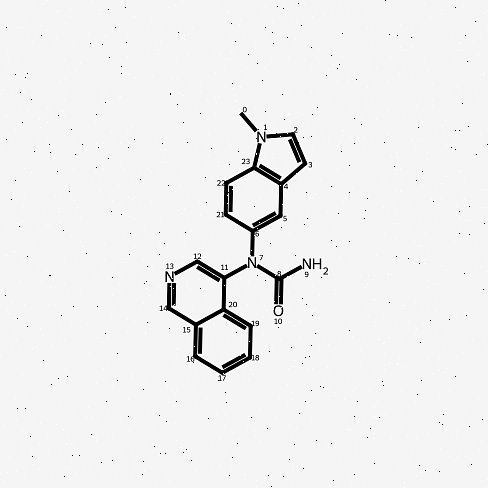 Cn1ccc2cc(N(C(N)=O)c3cncc4ccccc34)ccc21